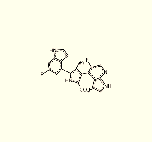 CC(C)c1c(-c2cc(F)cc3[nH]ccc23)[nH]c(C(=O)O)c1-c1c(F)cnc2[nH]ccc12